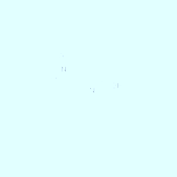 BC(CC=C)N(C)/C(CCCC)=C(\C)[N+](=O)[O-]